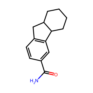 NC(=O)c1ccc2c(c1)C1CCCCC1C2